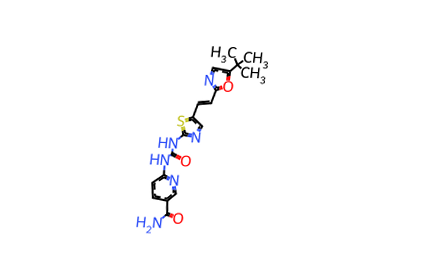 CC(C)(C)c1cnc(C=Cc2cnc(NC(=O)Nc3ccc(C(N)=O)cn3)s2)o1